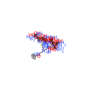 NCC1O[C@@H](O[C@@H]2C(N)C[C@@H](N)C(O)[C@H]2OC2O[C@H](CSCCNC(=S)NCCCCN(CCCCCNC(=O)CCc3cc4cccc5c4c4c3CC=CC4=CC5)CCCNC(=S)NCCSC[C@H]3OC(O[C@@H]4C(O)[C@H](N)CC(N)[C@H]4O[C@@H]4OC(CN)[C@@H](O)[C@H](O)C4N)[C@@H](O)[C@H]3O[C@H]3O[C@@H](CN)[C@@H](O)C(O)C3N)[C@H](O[C@H]3O[C@@H](CN)[C@@H](O)C(O)C3N)[C@@H]2O)C(N)[C@@H](O)[C@@H]1O